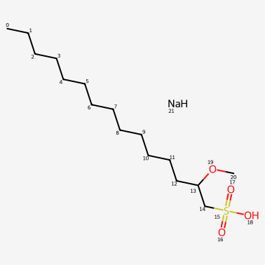 CCCCCCCCCCCCCC(CS(=O)(=O)O)OC.[NaH]